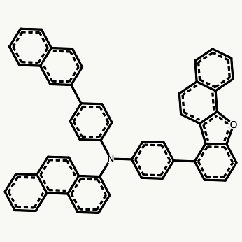 c1ccc2cc(-c3ccc(N(c4ccc(-c5cccc6oc7c8ccccc8ccc7c56)cc4)c4cccc5c4ccc4ccccc45)cc3)ccc2c1